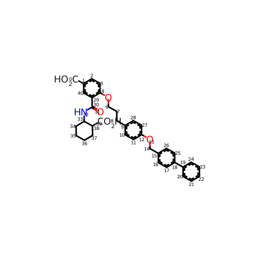 O=C(O)c1ccc(OCCCc2ccc(OCc3ccc(-c4ccccc4)cc3)cc2)c(C(=O)NC2CCCCC2C(=O)O)c1